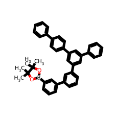 CC1(C)OB(c2cccc(-c3cccc(-c4cc(-c5ccccc5)cc(-c5ccc(-c6ccccc6)cc5)c4)c3)c2)OC1(C)C